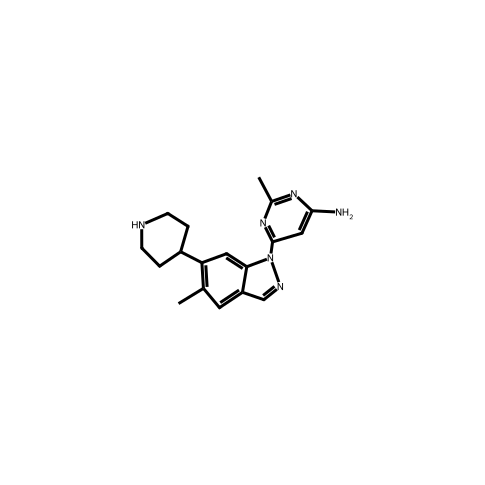 Cc1nc(N)cc(-n2ncc3cc(C)c(C4CCNCC4)cc32)n1